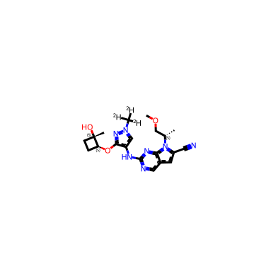 [2H]C([2H])([2H])n1cc(Nc2ncc3cc(C#N)n([C@@H](C)COC)c3n2)c(O[C@H]2CC[C@]2(C)O)n1